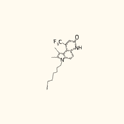 Cc1c(C)n(CCCCCCI)c2ccc3[nH]c(=O)cc(C(F)(F)F)c3c12